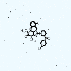 CCN1CCN(C(=O)C2CCCN(c3nc4c(c(=O)n(C)c(=O)n4C)n3Cc3c(F)cccc3Cl)C2)CC1